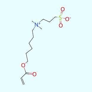 C=CC(=O)OCCCCCC[N+](C)(C)CCCS(=O)(=O)[O-]